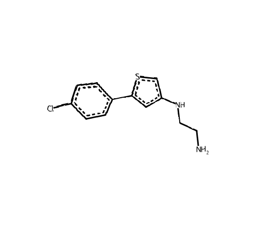 NCCNc1csc(-c2ccc(Cl)cc2)c1